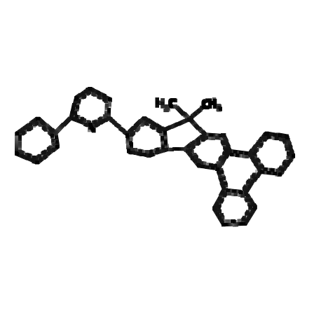 CC1(C)c2cc(-c3cccc(-c4ccccc4)n3)ccc2-c2cc3c4ccccc4c4ccccc4c3cc21